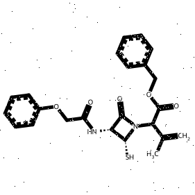 C=C(C)C(C(=O)OCc1ccccc1)N1C(=O)[C@@H](NC(=O)COc2ccccc2)[C@H]1S